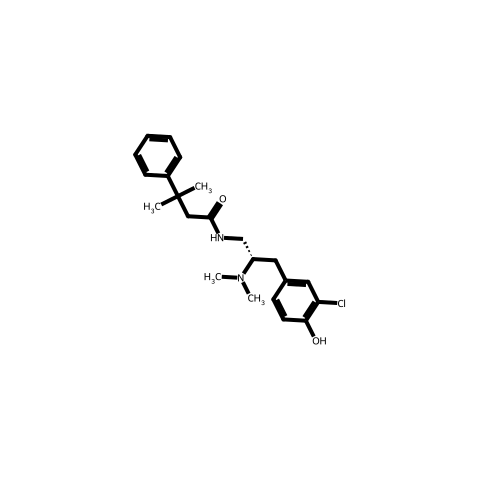 CN(C)[C@H](CNC(=O)CC(C)(C)c1ccccc1)Cc1ccc(O)c(Cl)c1